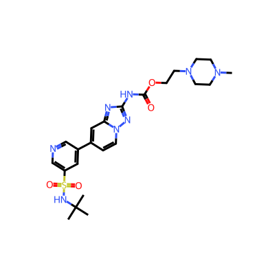 CN1CCN(CCOC(=O)Nc2nc3cc(-c4cncc(S(=O)(=O)NC(C)(C)C)c4)ccn3n2)CC1